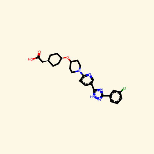 O=C(O)C[C@H]1CC[C@@H](OC2CCN(c3ccc(-c4nc(-c5cccc(Cl)c5)n[nH]4)cn3)CC2)CC1